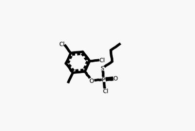 CCCSP(=O)(Cl)Oc1c(C)cc(Cl)cc1Cl